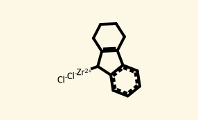 [Cl-].[Cl-].[Zr+2][CH]1C2=C(CCCC2)c2ccccc21